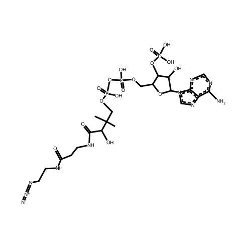 CC(C)(COP(=O)(O)OP(=O)(O)OCC1OC(n2cnc3c(N)ncnc32)C(O)C1OP(=O)(O)O)C(O)C(=O)NCCC(=O)NCCN=[N+]=[N-]